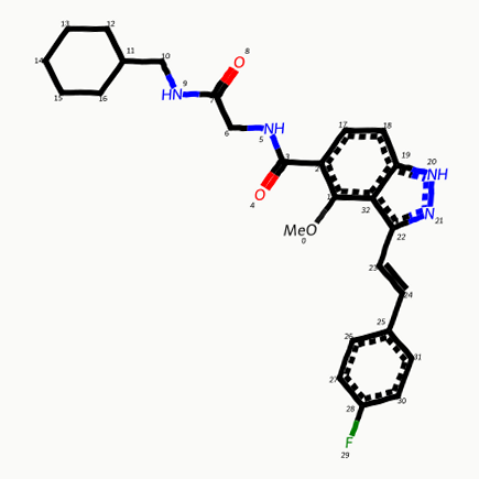 COc1c(C(=O)NCC(=O)NCC2CCCCC2)ccc2[nH]nc(/C=C/c3ccc(F)cc3)c12